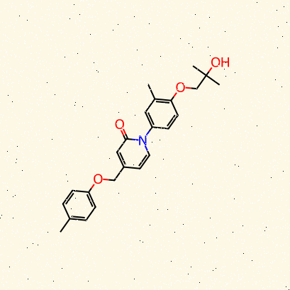 Cc1ccc(OCc2ccn(-c3ccc(OCC(C)(C)O)c(C)c3)c(=O)c2)cc1